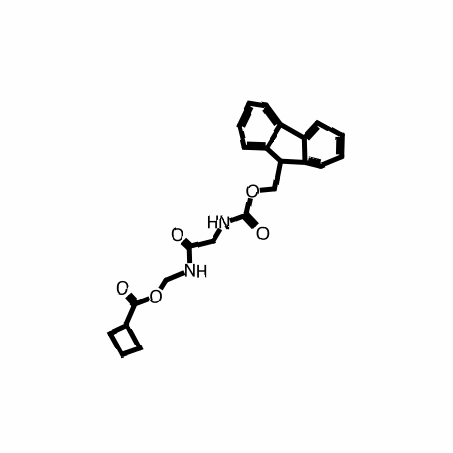 O=C(CNC(=O)OCC1c2ccccc2-c2ccccc21)NCOC(=O)C1CCC1